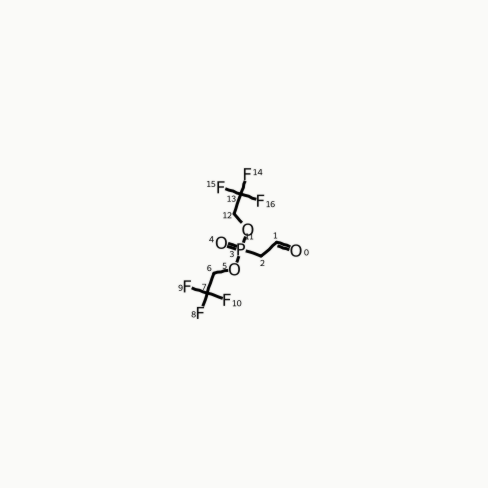 O=CCP(=O)(OCC(F)(F)F)OCC(F)(F)F